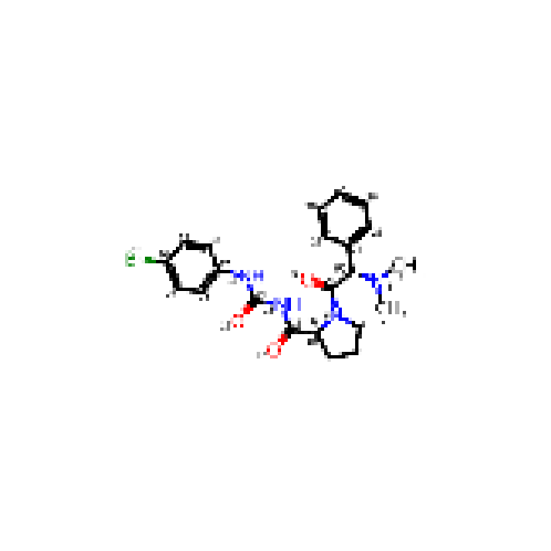 CN(C)[C@@H](C(=O)N1CCC[C@H]1C(=O)NC(=O)Nc1ccc(Br)cc1)c1ccccc1